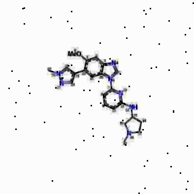 COc1cc2ncn(-c3cccc(NC4CCN(C)C4)n3)c2cc1-c1cnn(C)c1